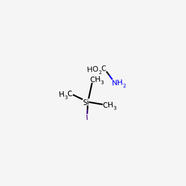 C[Si](C)(C)I.NC(=O)O